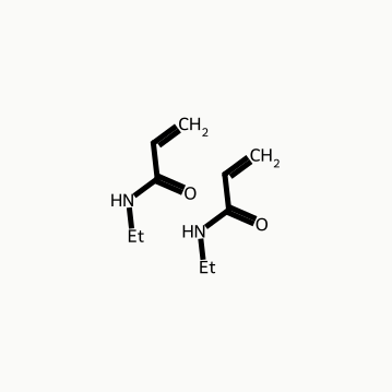 C=CC(=O)NCC.C=CC(=O)NCC